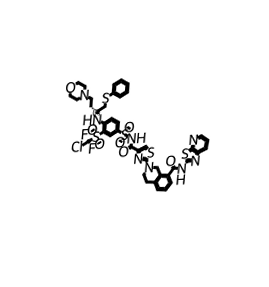 O=C(NS(=O)(=O)c1ccc(N[C@H](CCN2CCOCC2)CSc2ccccc2)c(S(=O)(=O)C(F)(F)Cl)c1)c1csc(N2CCc3cccc(C(=O)Nc4nc5cccnc5s4)c3C2)n1